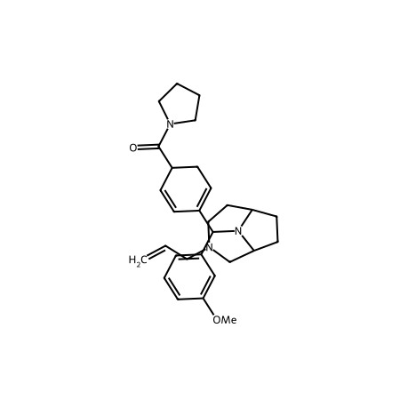 C=CCN1CCC2CCC(C1)N2C(C1=CCC(C(=O)N2CCCC2)C=C1)c1cccc(OC)c1